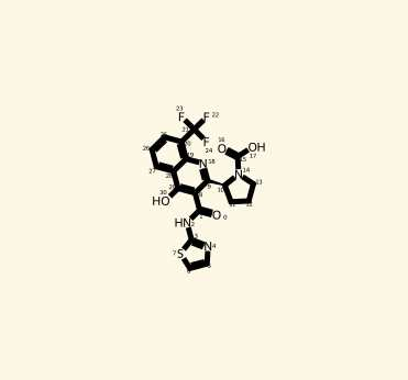 O=C(Nc1nccs1)c1c([C@@H]2CCCN2C(=O)O)nc2c(C(F)(F)F)cccc2c1O